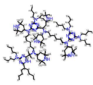 CCCCC(CCCC)C1=NC(N(CCCC)CCCC)=NC(C(C)(C)N(CCCCCCN(c2nc3nc(n2)N(CCCC)C2CC(C)(C)NC(C)(C2)CC3N(CCCCCCN(c2nc(N(CCCC)CCCC)nc(N(CCCC)CCCC)n2)C2CC(C)(C)NC(C)(C)C2)C2CC(C)(C)NC(C)(C)C2)C2CC(C)(C)NC(C)(C)C2)C2CC(C)(C)NC(C)(C)C2)N1